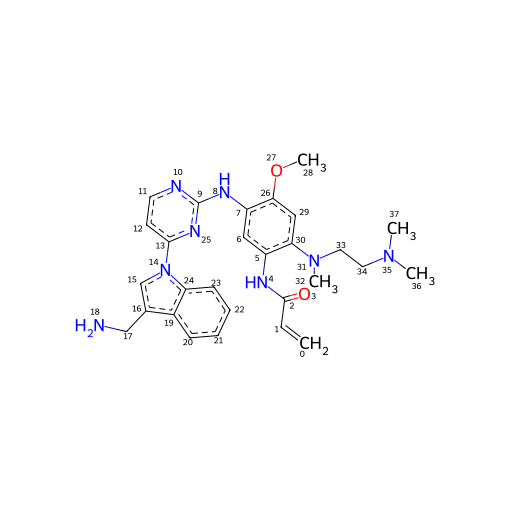 C=CC(=O)Nc1cc(Nc2nccc(-n3cc(CN)c4ccccc43)n2)c(OC)cc1N(C)CCN(C)C